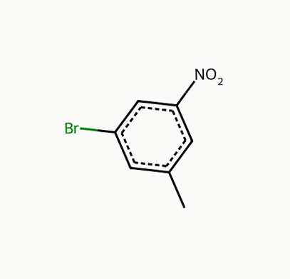 Cc1cc(Br)cc([N+](=O)[O-])c1